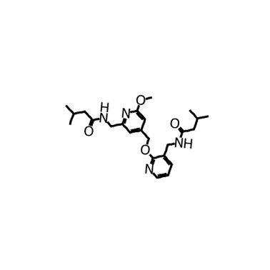 COc1cc(COc2ncccc2CNC(=O)CC(C)C)cc(CNC(=O)CC(C)C)n1